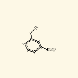 C#Cc1ccnc(CO)c1